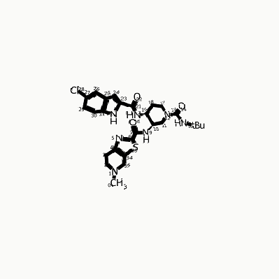 CN1CCc2nc(C(=O)N[C@@H]3CN(C(=O)NC(C)(C)C)CC[C@@H]3NC(=O)c3cc4cc(Cl)ccc4[nH]3)sc2C1